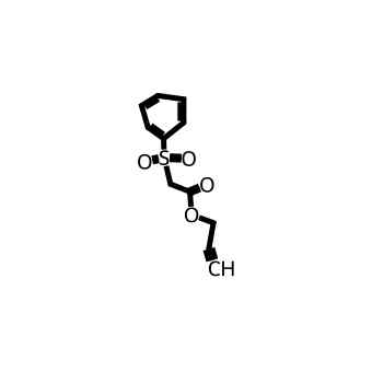 C#CCOC(=O)CS(=O)(=O)c1ccccc1